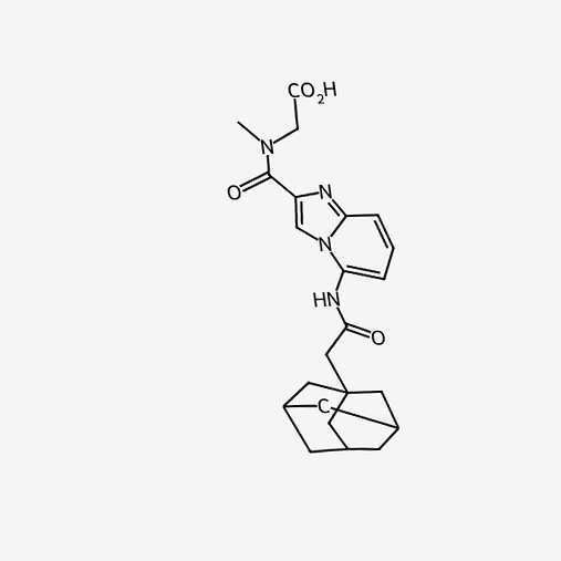 CN(CC(=O)O)C(=O)c1cn2c(NC(=O)CC34CC5CC(CC(C5)C3)C4)cccc2n1